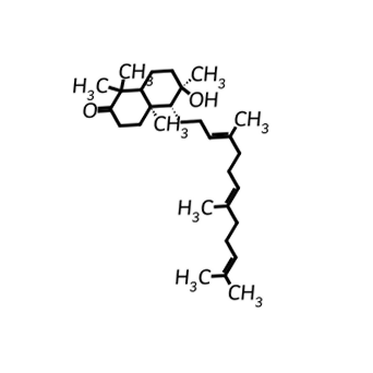 CC(C)=CCC/C(C)=C/CC/C(C)=C/CC[C@@H]1[C@@]2(C)CCC(=O)C(C)(C)C2CC[C@@]1(C)O